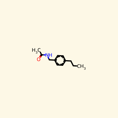 CCCc1ccc(CNC(C)=O)cc1